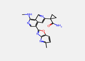 CNc1ncc(-c2nc3nc(C)ccc3o2)c2cc(C3(C(N)=O)CC3)ncc12